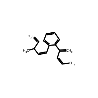 C=CC(C)/C=C\c1ccccc1C(=C)/C=C\C